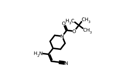 CC(C)(C)OC(=O)N1CCC(/C(N)=C\C#N)CC1